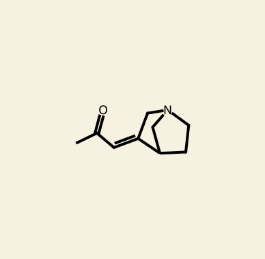 CC(=O)/C=C1\CN2CCC1C2